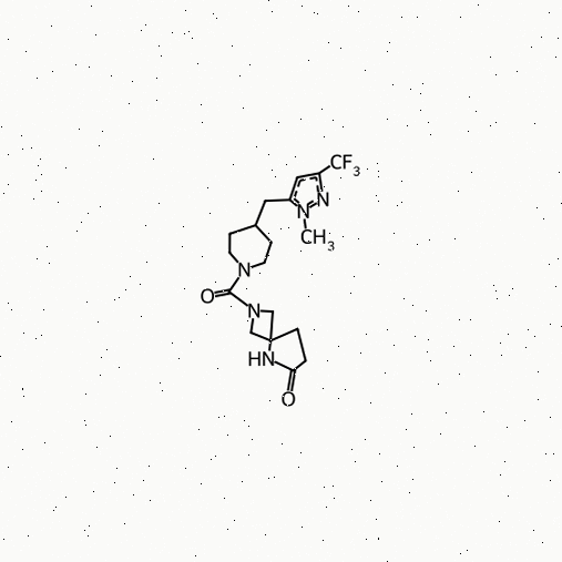 Cn1nc(C(F)(F)F)cc1CC1CCN(C(=O)N2CC3(CCC(=O)N3)C2)CC1